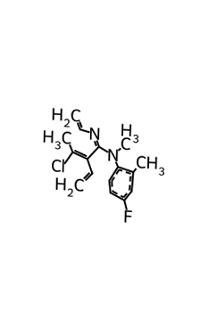 C=C/N=C(\C(C=C)=C(/C)Cl)N(C)c1ccc(F)cc1C